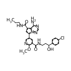 CCCNC(=O)c1cc(-c2cnc(OC)c(C(=O)NCCC(O)c3ccc(Cl)cc3)c2)n2ncnc(N)c12